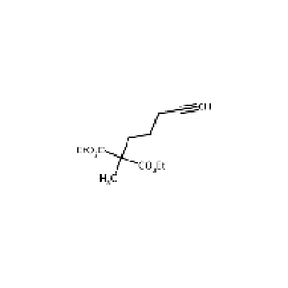 C#CCCCC(C)(C(=O)OCC)C(=O)OCC